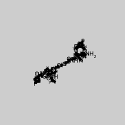 CN[C@@H](C)C(=O)N[C@H](C(=O)N1CCC[C@H]1C1=NC(C(=O)c2ccc(F)cc2)CS1)C1CCN(CCOCCOCCC(=O)NCCn2nc3c(c2C#N)-c2cnc(N)c(c2)O[C@H](C)c2cc(F)ccc2C(=O)N(C)C3)CC1